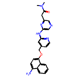 CN(C)C(=O)Cc1cncc(Nc2cc(COc3ccc(N)c4ccccc34)ccn2)n1